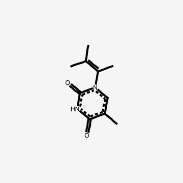 CC(C)=C(C)n1cc(C)c(=O)[nH]c1=O